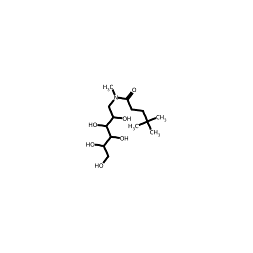 CN(CC(O)C(O)C(O)C(O)CO)C(=O)CCC(C)(C)C